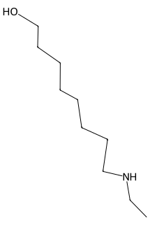 CCNCCCCCCCCO